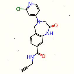 C#CCNC(=O)c1ccc2c(c1)NC(=O)CN(c1ccnc(Cl)c1)C2